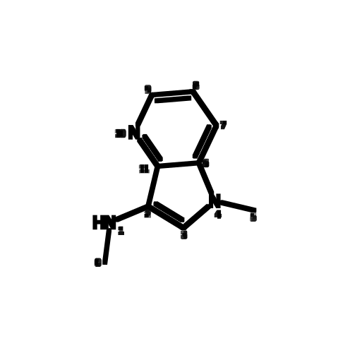 CNc1cn(C)c2cccnc12